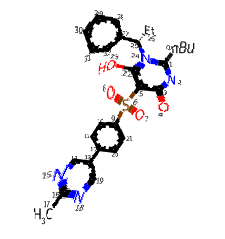 CCCCc1nc(=O)c(S(=O)(=O)c2ccc(-c3cnc(C)nc3)cc2)c(O)n1[C@@H](CC)c1ccccc1